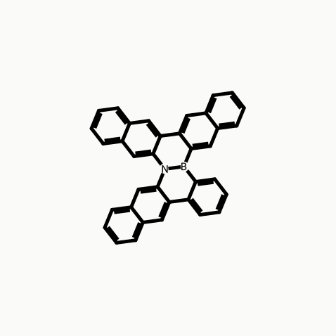 c1ccc2c(c1)B1c3cc4ccccc4cc3-c3cc4ccccc4cc3N1c1cc3ccccc3cc1-2